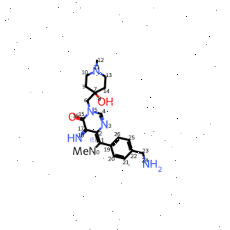 CN/C(=C1/N=CN(CC2(O)CCN(C)CC2)C(=O)C1=N)c1ccc(CN)cc1